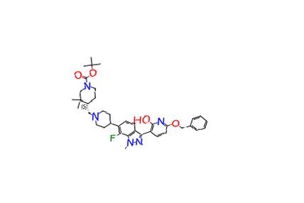 Cn1nc(-c2ccc(OCc3ccccc3)nc2O)c2ccc(C3CCN(C[C@H]4CCN(C(=O)OC(C)(C)C)CC4(C)C)CC3)c(F)c21